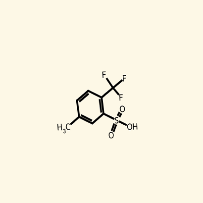 Cc1ccc(C(F)(F)F)c(S(=O)(=O)O)c1